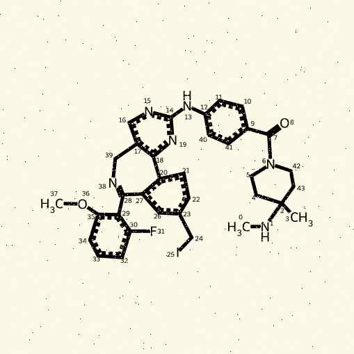 CNC1(C)CCN(C(=O)c2ccc(Nc3ncc4c(n3)-c3ccc(CI)cc3C(c3c(F)cccc3OC)=NC4)cc2)CC1